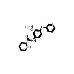 Cl.Cl.O=C(Nc1ccc(Oc2cccnc2)cc1)[C@H]1CCCCN1